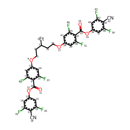 CCC(CCOc1cc(F)c(C(=O)Oc2cc(F)c(C#N)c(F)c2)c(F)c1)CCOc1cc(F)c(C(=O)Oc2cc(F)c(C#N)c(F)c2)c(F)c1